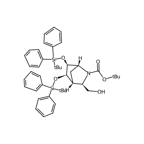 CC(C)(C)OC(=O)N1[C@@H]2C[C@@H]([C@@H](O[Si](c3ccccc3)(c3ccccc3)C(C)(C)C)[C@H]2O[Si](c2ccccc2)(c2ccccc2)C(C)(C)C)[C@@H]1CO